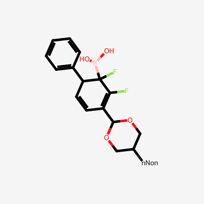 CCCCCCCCCC1COC(C2=C(F)C(F)(B(O)O)C(c3ccccc3)C=C2)OC1